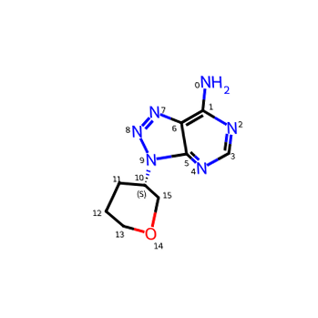 Nc1ncnc2c1nnn2[C@H]1CCCOC1